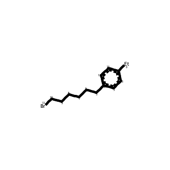 CCc1ccc(CCCCCCBr)cc1